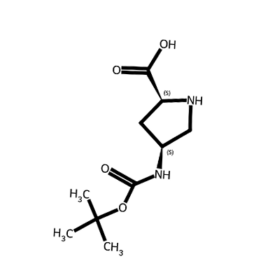 CC(C)(C)OC(=O)N[C@@H]1CN[C@H](C(=O)O)C1